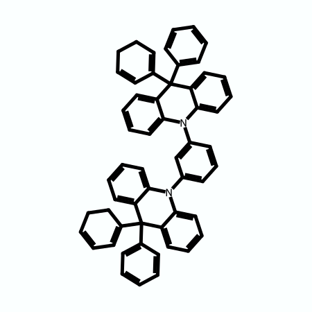 C1=CCCC(C2(c3ccccc3)c3ccccc3N(c3cccc(N4c5ccccc5C(C5=CCCC=C5)(c5ccccc5)c5ccccc54)c3)c3ccccc32)=C1